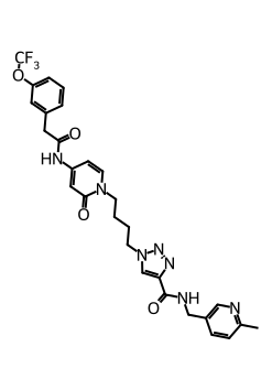 Cc1ccc(CNC(=O)c2cn(CCCCn3ccc(NC(=O)Cc4cccc(OC(F)(F)F)c4)cc3=O)nn2)cn1